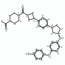 CC(=O)N1CCN(C(=O)C2CN(c3ncc(N4CC[C@@H](Oc5ccc(Oc6ccc(F)cc6)nc5)C4)cn3)C2)CC1